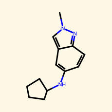 Cn1cc2cc(NC3CCCC3)ccc2n1